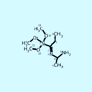 CC/C(=N\C(C)N)[Si](OC)(OC)OC